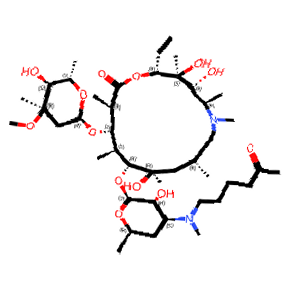 CC[C@H]1OC(=O)[C@H](C)[C@@H](O[C@H]2C[C@@](C)(OC)[C@@H](O)[C@H](C)O2)[C@H](C)[C@@H](O[C@@H]2O[C@H](C)C[C@H](N(C)CCCCC(C)=O)[C@H]2O)[C@](C)(O)C[C@@H](C)CN(C)[C@H](C)[C@@H](O)[C@]1(C)O